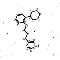 [c]1cccc(C2CCCCC2)c1OCCCc1c[nH]cn1